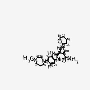 CN1CCCN(c2cc3[nH]c(-c4nn(C5CCCCO5)cc4C(N)=O)nc3cc2F)CC1